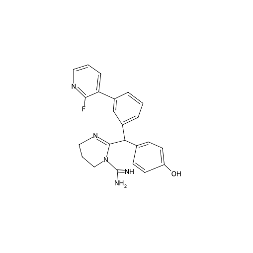 N=C(N)N1CCCN=C1C(c1ccc(O)cc1)c1cccc(-c2cccnc2F)c1